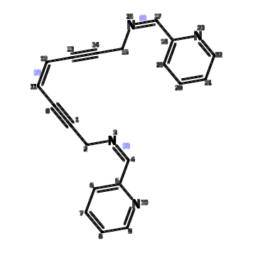 C(#CC/N=C\c1ccccn1)/C=C\C#CC/N=C\c1ccccn1